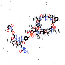 C=C1C(=O)N[C@@H](C)C(=O)N(C)[C@@H](C)C(=O)N[C@@H]([C@H](OC(=O)[C@@H](NC(=O)CC)[C@H](OP(=O)(O)OCc2ccc(NC(=O)[C@@H](NC(=O)[C@@H](NC(=O)CCOCCN3C(=O)C=CC3=O)C(C)C)C(C)CCNC(N)=O)cc2)C(C)C)C(C)C)C(=O)N(C)[C@@H]([C@@H](C)OC)C(=O)C[C@H](C(C)C)[C@H](NC(C)=O)C(=O)O[C@H](Cc2ccccc2)C(=O)N1C